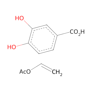 C=COC(C)=O.O=C(O)c1ccc(O)c(O)c1